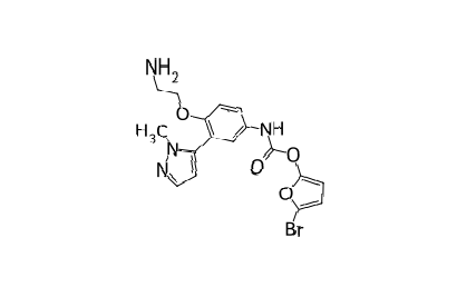 Cn1nccc1-c1cc(NC(=O)Oc2ccc(Br)o2)ccc1OCCN